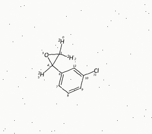 [2H]C1([2H])OC1([2H])c1cccc(Cl)c1